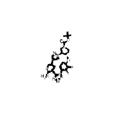 COc1ccc(-n2nnnc2-c2cc(-c3cnn(C4CCCN(C(=O)OC(C)(C)C)C4)c3)cnc2N)c(F)c1F